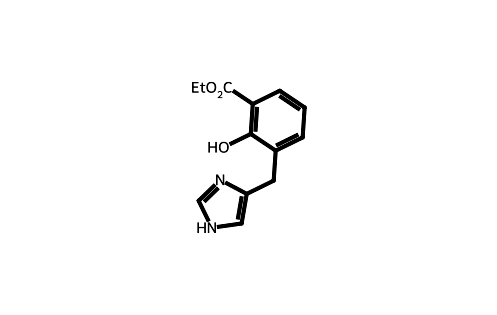 CCOC(=O)c1cccc(Cc2c[nH]cn2)c1O